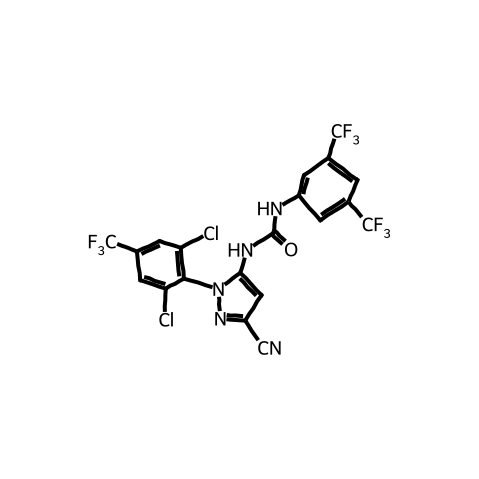 N#Cc1cc(NC(=O)Nc2cc(C(F)(F)F)cc(C(F)(F)F)c2)n(-c2c(Cl)cc(C(F)(F)F)cc2Cl)n1